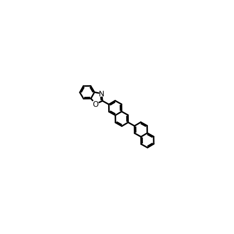 c1ccc2cc(-c3ccc4cc(-c5nc6ccccc6o5)ccc4c3)ccc2c1